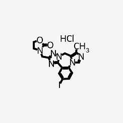 Cc1ncn2c1Cn1nc(CN3CCOC3=O)nc1-c1cc(I)ccc1-2.Cl